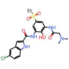 CCS(=O)(=O)c1cc(NC(=O)CN(C)C)c(O)c(NC(=O)c2cc3cc(Cl)ccc3[nH]2)c1